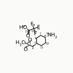 CS(=O)(=O)C[C@H]1CC[C@H](N)CC1.O=C(O)C(F)(F)F